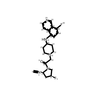 C#[N+][C@@H]1C[C@H](F)CN1C(=O)CN1CCC(Nc2ccc(F)c3cnccc23)CC1